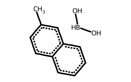 Cc1ccc2ccccc2c1.OBO